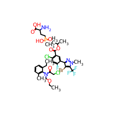 CC(C)OC(=O)c1cc(-c2nn(C)c(C(F)(F)F)c2Br)c(F)cc1Cl.CCOCN(C(=O)CCl)c1c(C)cccc1CC.CP(=O)(O)CCC(N)C(=O)O